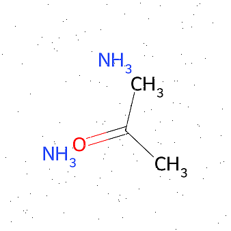 CC(C)=O.N.N